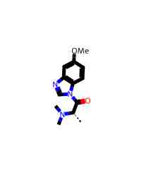 COc1ccc2c(c1)ncn2C(=O)[C@H](C)N(C)C